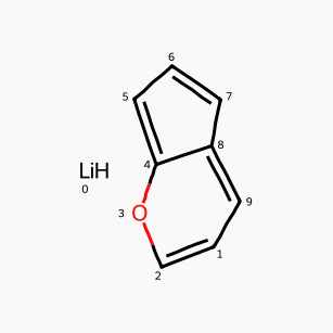 [LiH].c1coc2cccc-2c1